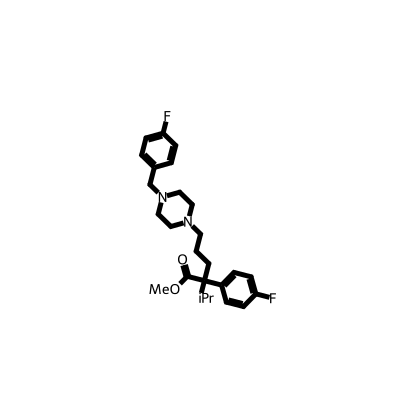 COC(=O)C(CCCN1CCN(Cc2ccc(F)cc2)CC1)(c1ccc(F)cc1)C(C)C